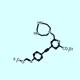 CCOC(=O)c1cc(C#Cc2ccc(N=COC(F)(F)F)cc2)cc(CN2CCNCCNCC2)n1